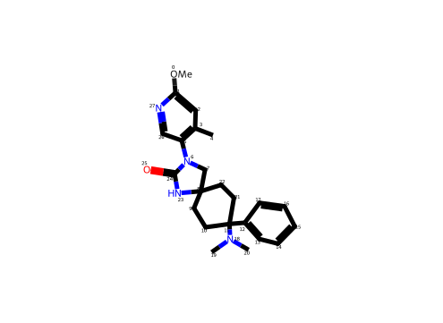 COc1cc(C)c(N2CC3(CCC(c4ccccc4)(N(C)C)CC3)NC2=O)cn1